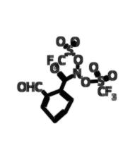 O=Cc1ccccc1C(=O)N(OS(=O)(=O)C(F)(F)F)OS(=O)(=O)C(F)(F)F